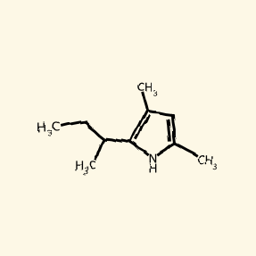 CCC(C)c1[nH]c(C)cc1C